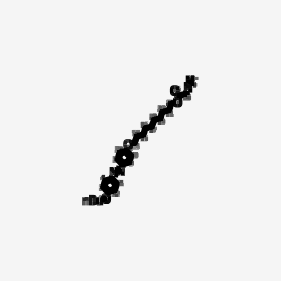 CCCCOc1ccc(N=Nc2ccc(OCCCCCCCCCCOC(=O)C=[N+]=[N-])cc2)cc1